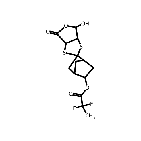 CC(F)(F)C(=O)OC1CC2CC1CC21SC2C(=O)OC(O)C2S1